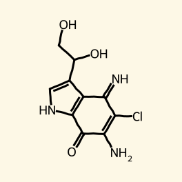 N=C1C(Cl)=C(N)C(=O)c2[nH]cc(C(O)CO)c21